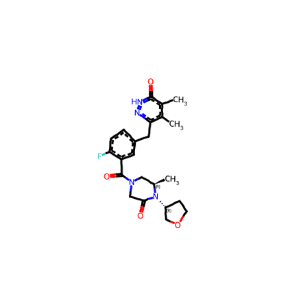 Cc1c(Cc2ccc(F)c(C(=O)N3CC(=O)N([C@@H]4CCOC4)[C@H](C)C3)c2)n[nH]c(=O)c1C